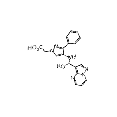 O=C(O)Cn1cc(NC(O)c2cnn3cccnc23)c(-c2ccccc2)n1